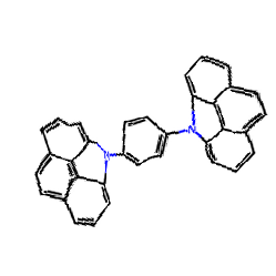 c1cc2ccc3cccc4c3c2c(c1)n4-c1ccc(-n2c3cccc4ccc5cccc2c5c43)cc1